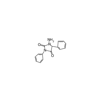 NN1C(=O)N(c2ccccc2)C(=O)C1c1ccccc1